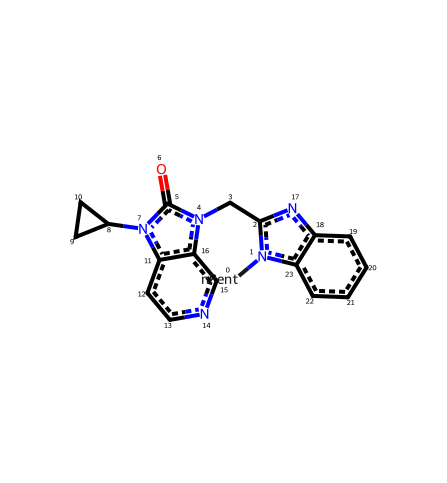 CCCCCn1c(Cn2c(=O)n(C3CC3)c3ccncc32)nc2ccccc21